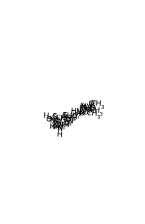 COC(=O)N[C@H](C(=O)N1CCC[C@H]1c1ncc(-c2ccc(-c3cc(OC)c4cc(-c5c[nH]c([C@@H]6CCCN6C(=O)[C@@H](NC=O)C(C)C)n5)ccc4n3)cc2)[nH]1)C(C)C